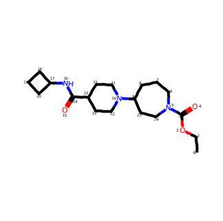 CCOC(=O)N1CCCC(N2CCC(C(=O)NC3CCC3)CC2)CC1